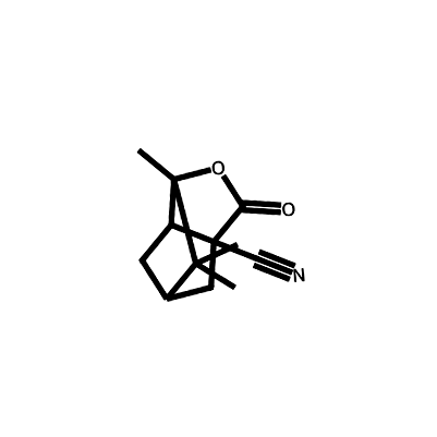 CC1(C)C2CC3C(C#N)(C2)C(=O)OC31C